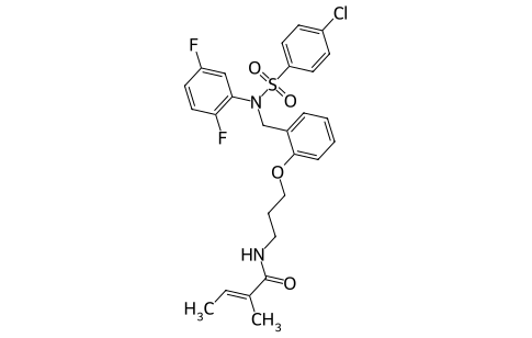 CC=C(C)C(=O)NCCCOc1ccccc1CN(c1cc(F)ccc1F)S(=O)(=O)c1ccc(Cl)cc1